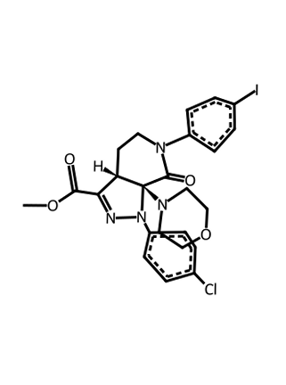 COC(=O)C1=NN(c2ccc(Cl)cc2)[C@@]2(N3CCOCC3)C(=O)N(c3ccc(I)cc3)CC[C@@H]12